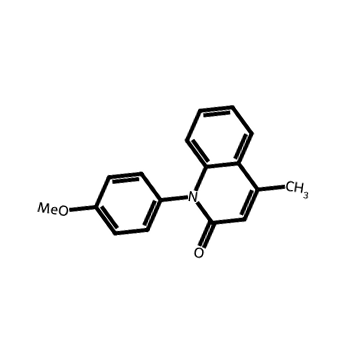 COc1ccc(-n2c(=O)cc(C)c3ccccc32)cc1